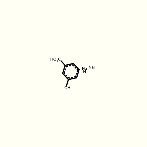 O=C(O)c1cccc(O)c1.[NaH].[NaH]